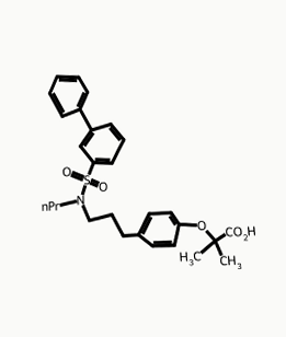 CCCN(CCCc1ccc(OC(C)(C)C(=O)O)cc1)S(=O)(=O)c1cccc(-c2ccccc2)c1